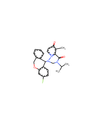 Cc1c2n(ccc1=O)N(C1c3ccccc3COc3cc(F)ccc31)CN(C(C)C)C2=O